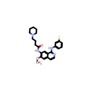 COc1cc2ccnc(Nc3cccc(F)c3)c2cc1NC(=O)CCCN1CCCCC1